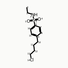 CCNS(=O)(=O)c1ccc(CCCCCl)cc1